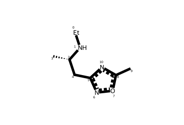 CCN[C@@H](C)Cc1noc(C)n1